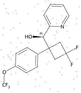 O[C@@H](c1ccccn1)C1(c2ccc(OC(F)(F)F)cc2)CC(F)(F)C1